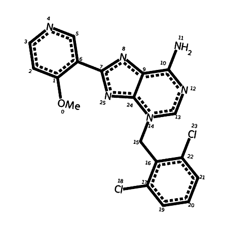 COc1ccncc1-c1nc2c(N)ncn(Cc3c(Cl)cccc3Cl)c-2n1